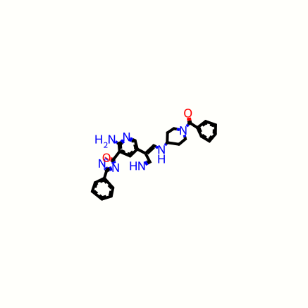 N=C/C(=C\NC1CCN(C(=O)c2ccccc2)CC1)c1cnc(N)c(-c2nc(-c3ccccc3)no2)c1